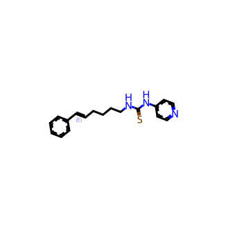 S=C(NCCCC/C=C/c1ccccc1)Nc1ccncc1